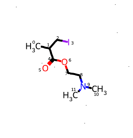 CC(CI)C(=O)OCCN(C)C